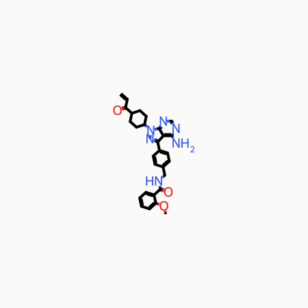 C=CC(=O)C1CCC(n2nc(-c3ccc(CNC(=O)c4ccccc4OC)cc3)c3c(N)ncnc32)CC1